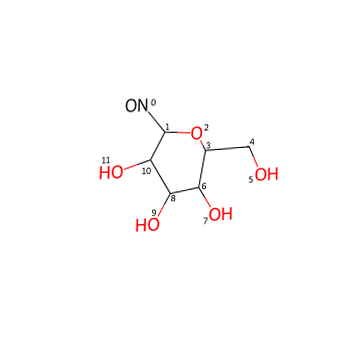 O=NC1OC(CO)C(O)C(O)C1O